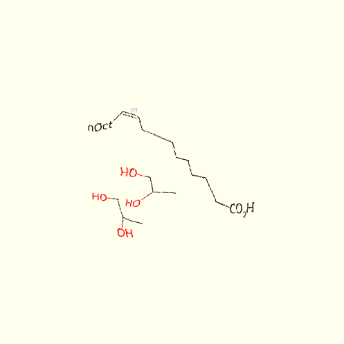 CC(O)CO.CC(O)CO.CCCCCCCC/C=C\CCCCCCCC(=O)O